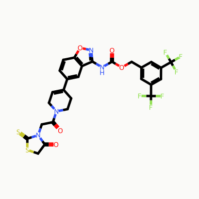 O=C(Nc1noc2ccc(C3=CCN(C(=O)CN4C(=O)CSC4=S)CC3)cc12)OCc1cc(C(F)(F)F)cc(C(F)(F)F)c1